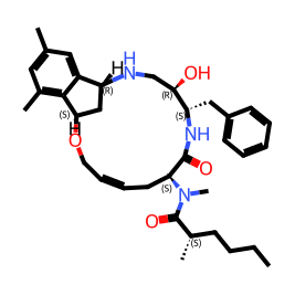 CCCC[C@H](C)C(=O)N(C)[C@H]1CC=CCO[C@H]2C[C@@H](NC[C@@H](O)[C@H](Cc3ccccc3)NC1=O)c1cc(C)cc(C)c12